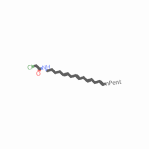 CCCCCC=CCC=CCC=CCC=CCCCCNC(=O)CCl